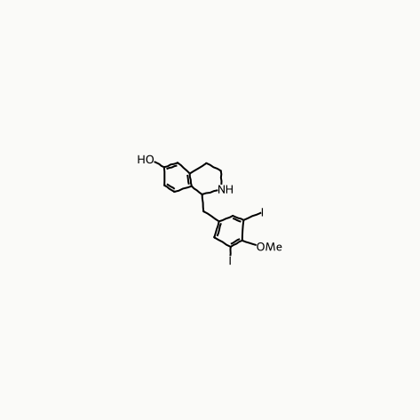 COc1c(I)cc(CC2NCCc3cc(O)ccc32)cc1I